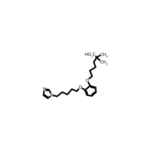 CC(C)(CCCCOc1ccccc1OCCCCCn1ccnc1)C(=O)O